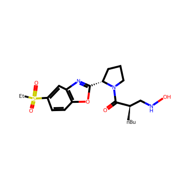 CCCC[C@H](CNO)C(=O)N1CCC[C@H]1c1nc2cc(S(=O)(=O)CC)ccc2o1